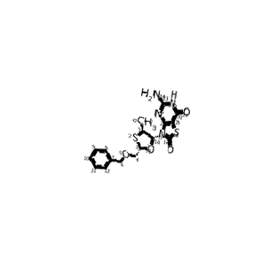 C[C@@H]1S[C@@H](COCc2ccccc2)O[C@H]1n1c(=O)sc2c(=O)[nH]c(N)nc21